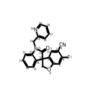 N#Cc1cc2c(cc1F)OCC21C(=O)N(Cc2ccccn2)c2ccccc21